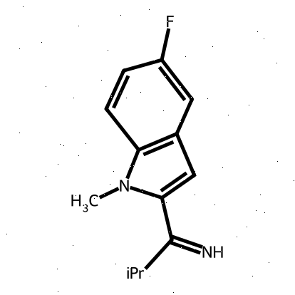 CC(C)C(=N)c1cc2cc(F)ccc2n1C